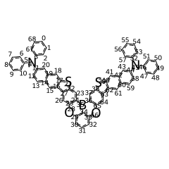 c1ccc(N(c2ccccc2)c2ccc3cc4c(cc3c2)sc2cc3c(cc24)Oc2cccc4c2B3c2cc3sc5cc6cc(N(c7ccccc7)c7ccccc7)ccc6cc5c3cc2O4)cc1